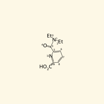 CCN(CC)C(=O)c1cccc(C(=O)O)n1